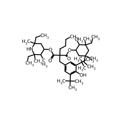 CCCCC(Cc1cc(C(C)(C)C)c(O)c(C(C)(C)C)c1)(C(=O)OC1CC(C)(CC)CC(C)(CC)C1C)C(=O)OC1CC(C)(CC)NC(C)(CC)C1C